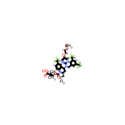 CC[C@@H]1C[C@H](N(Cc2cc(C(F)(F)F)cc(C(F)(F)F)c2)c2ncc(OCCOC)cn2)c2cc(C(F)(F)F)ccc2N1C(=O)OCC(C)(C)C(=O)O